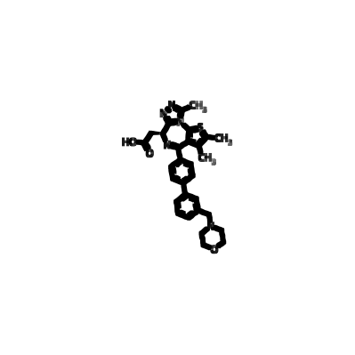 Cc1sc2c(c1C)C(c1ccc(-c3cccc(CN4CCOCC4)c3)cc1)=N[C@@H](CC(=O)O)c1nnc(C)n1-2